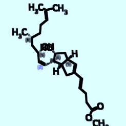 COC(=O)CCC=CC1=C[C@H]2C[C@@H](O)[C@@H](/C=C\[C@@H](O)C[C@H](C)CCC=C(C)C)[C@H]2C1